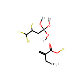 C=C(CC(=O)O)C(=O)OS.CCO[Si](CC(S)C(S)S)(OCC)OCC